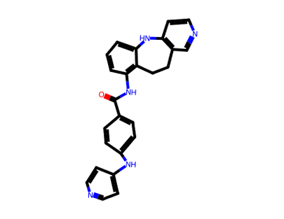 O=C(Nc1cccc2c1CCc1cnccc1N2)c1ccc(Nc2ccncc2)cc1